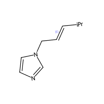 CC(C)/C=C/Cn1ccnc1